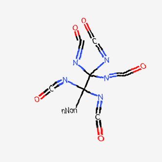 CCCCCCCCCC(N=C=O)(N=C=O)C(N=C=O)(N=C=O)N=C=O